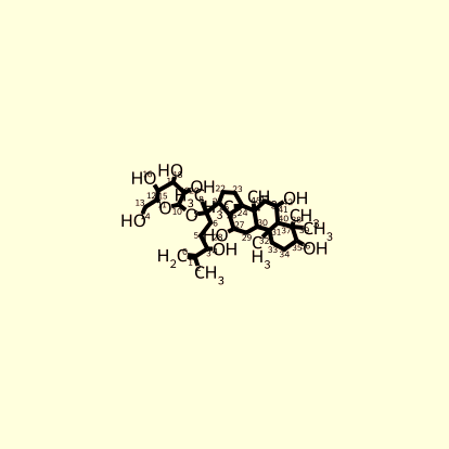 C=C(C)C(O)CCC(C)(OC1OC(CO)C(O)C(O)C1O)C1CCC2(C)C1C(O)CC1C3(C)CCC(O)C(C)(C)C3C(O)CC12C